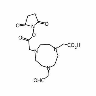 O=CCN1CCN(CC(=O)O)CCN(CC(=O)ON2C(=O)CCC2=O)CC1